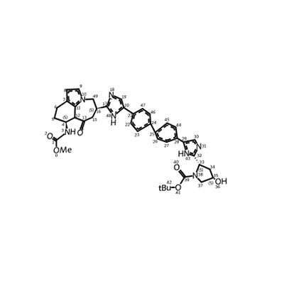 COC(=O)N[C@H]1CCc2ccn3c2C1C(=O)C[C@H](c1ncc(-c2ccc(-c4ccc(-c5cnc([C@@H]6C[C@H](O)CN6C(=O)OC(C)(C)C)[nH]5)cc4)cc2)[nH]1)C3